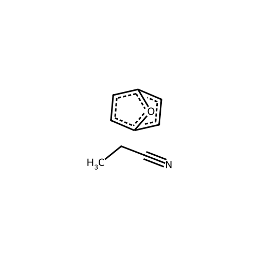 CCC#N.c1cc2ccc1o2